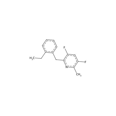 CCc1ccccc1Cc1nc(C)c(F)cc1F